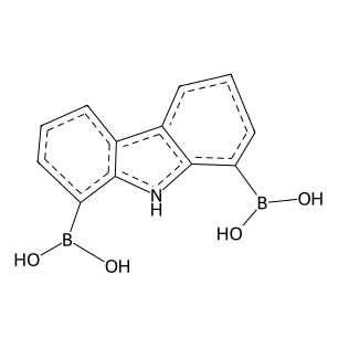 OB(O)c1cccc2c1[nH]c1c(B(O)O)cccc12